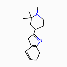 CN1CCC(C2=NC3=C(C=CCC3)C2)CC1(C)C